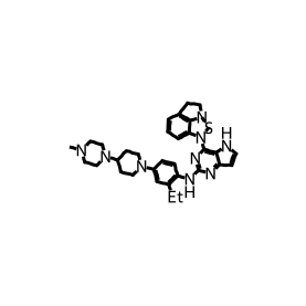 CCc1cc(N2CCC(N3CCN(C)CC3)CC2)ccc1Nc1nc(N2SN3CCc4cccc2c43)c2[nH]ccc2n1